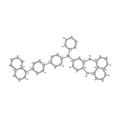 c1ccc(N(c2ccc(-c3ccc(-c4cccc5ccccc45)cc3)cc2)c2ccc3c(c2)Oc2cccc4cccc(c24)O3)cc1